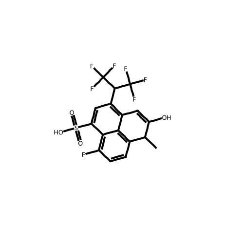 CC1C(O)=Cc2c(C(C(F)(F)F)C(F)(F)F)cc(S(=O)(=O)O)c3c(F)ccc1c23